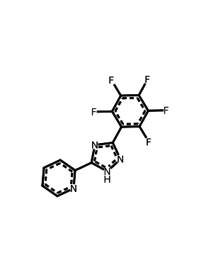 Fc1c(F)c(F)c(-c2n[nH]c(-c3ccccn3)n2)c(F)c1F